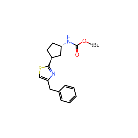 CC(C)(C)OC(=O)N[C@H]1CC[C@H](c2nc(Cc3ccccc3)cs2)C1